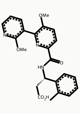 COc1ccc(C(=O)N[C@@H](CC(=O)O)c2ccccc2C)nc1-c1cccnc1OC